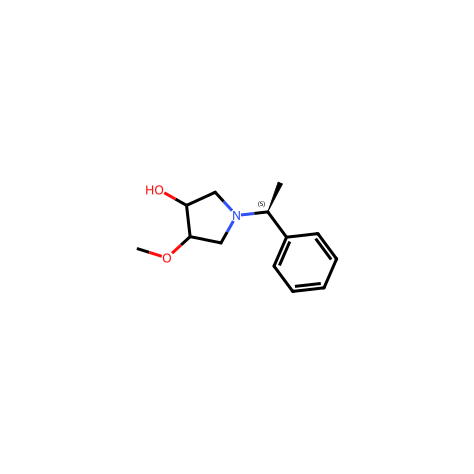 COC1CN([C@@H](C)c2ccccc2)CC1O